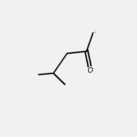 [CH2]C(=O)CC(C)C